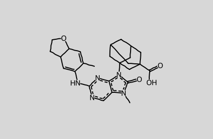 CC1=CC2OCCC2C=C1Nc1ncc2c(n1)n(C13CC4CC(CC(C(=O)O)(C4)C1)C3)c(=O)n2C